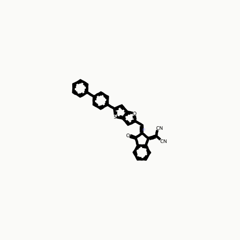 N#CC(C#N)=C1/C(=C/c2cc3sc(-c4ccc(-c5ccccc5)cc4)cc3o2)C(=O)c2ccccc21